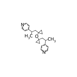 CC(CC1(OC2(CC(C)c3ccncc3)CC2)CC1)c1ccncc1